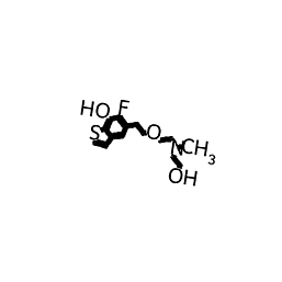 CN(CCO)CCOCCc1cc2ccsc2c(O)c1F